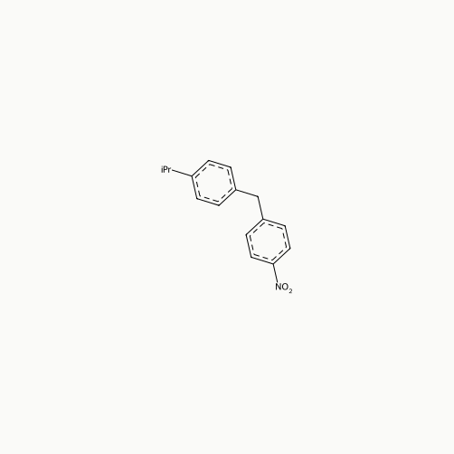 CC(C)c1ccc(Cc2ccc([N+](=O)[O-])cc2)cc1